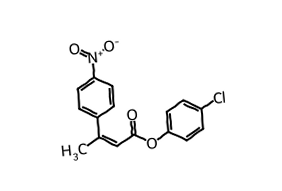 CC(=CC(=O)Oc1ccc(Cl)cc1)c1ccc([N+](=O)[O-])cc1